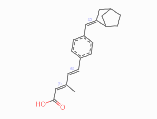 CC(/C=C/c1ccc(/C=C2/CC3CCC2C3)cc1)=C\C(=O)O